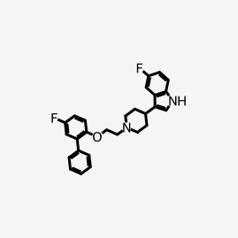 Fc1ccc(OCCN2CCC(c3c[nH]c4ccc(F)cc34)CC2)c(-c2ccccc2)c1